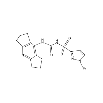 CC(C)n1ccc(S(=O)(=O)NC(=O)Nc2c3c(nc4c2CCC4)CCC3)n1